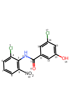 O=C(Nc1c(Cl)cccc1[N+](=O)[O-])c1cc(O)cc(Cl)c1